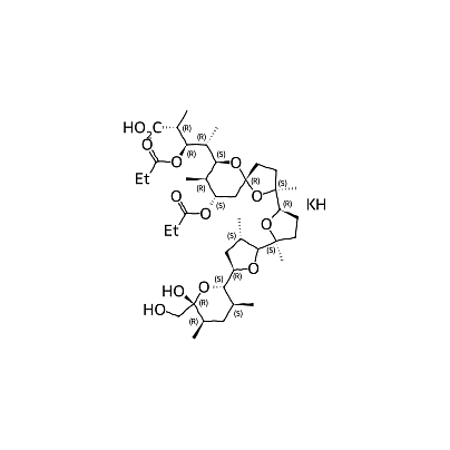 CCC(=O)O[C@H]([C@H](C)[C@H]1O[C@@]2(CC[C@@](C)([C@H]3CC[C@@](C)(C4O[C@@H]([C@H]5O[C@@](O)(CO)[C@H](C)C[C@@H]5C)C[C@@H]4C)O3)O2)C[C@H](OC(=O)CC)[C@H]1C)[C@@H](C)C(=O)O.[KH]